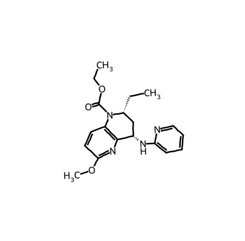 CCOC(=O)N1c2ccc(OC)nc2[C@@H](Nc2ccccn2)C[C@H]1CC